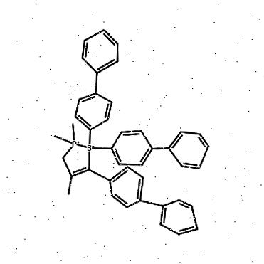 CC1=C(c2ccc(-c3ccccc3)cc2)[B-](c2ccc(-c3ccccc3)cc2)(c2ccc(-c3ccccc3)cc2)[P+](C)(C)C1